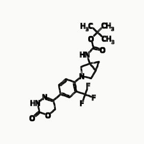 CC(C)(C)OC(=O)NC12CC1CN(c1ccc(C3=NNC(=O)OC3)cc1C(F)(F)F)C2